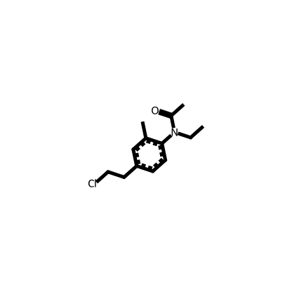 CCN(C(C)=O)c1ccc(CCCl)cc1C